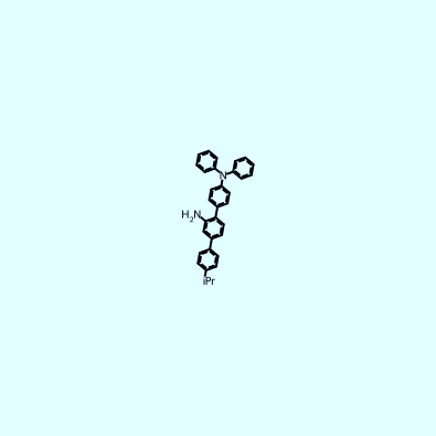 CC(C)c1ccc(-c2ccc(-c3ccc(N(c4ccccc4)c4ccccc4)cc3)c(N)c2)cc1